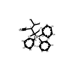 C[C](C)C(C#N)C(C)(C)[PH](c1ccccc1)(c1ccccc1)c1ccccc1